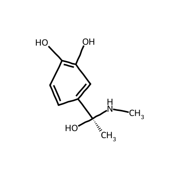 CN[C@@](C)(O)c1ccc(O)c(O)c1